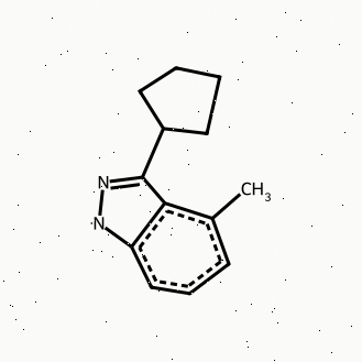 Cc1cccc2c1C(C1CCCC1)=N[N]2